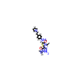 CCN1C(=O)[C@@H](CNc2ccc(CCN3CCCC3)cc2)S/C1=C(/N)C(=O)NN(C)C